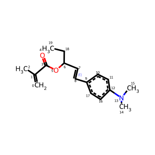 C=C(C)C(=O)OC(/C=C/c1ccc(N(C)C)cc1)CC